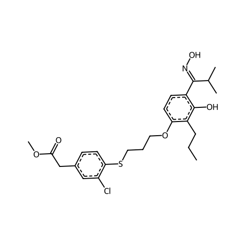 CCCc1c(OCCCSc2ccc(CC(=O)OC)cc2Cl)ccc(C(=NO)C(C)C)c1O